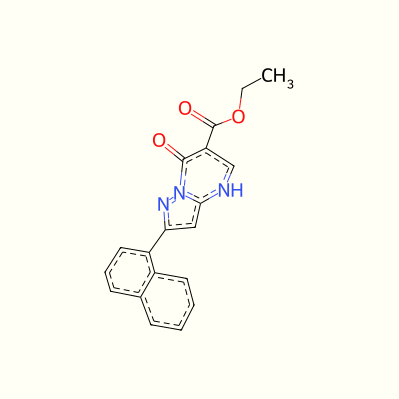 CCOC(=O)c1c[nH]c2cc(-c3cccc4ccccc34)nn2c1=O